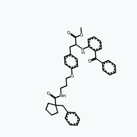 COC(=O)C(Cc1ccc(OCCCNC(=O)C2(Cc3ccccc3)CCCC2)cc1)Nc1ccccc1C(=O)c1ccccc1